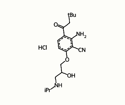 CC(C)NCC(O)COc1ccc(C(=O)CC(C)(C)C)c(N)c1C#N.Cl